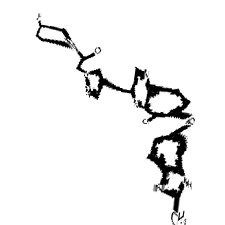 Cc1nc2ccc(Oc3ccc4ncc(-c5cnn(CC(=O)N6CCC(F)C6)c5)nc4c3Cl)cc2[nH]1